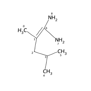 CC(CC(C)C)=C(N)N